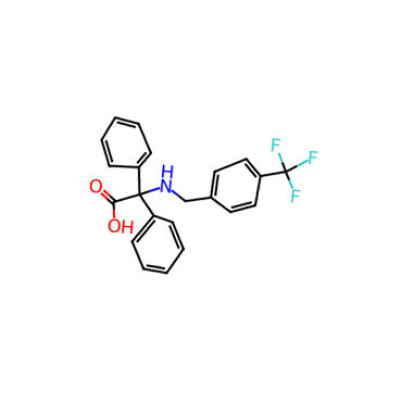 O=C(O)C(NCc1ccc(C(F)(F)F)cc1)(c1ccccc1)c1ccccc1